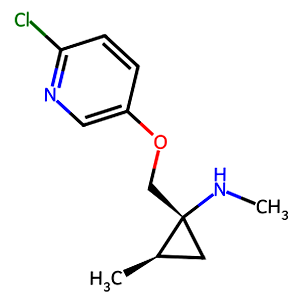 CN[C@]1(COc2ccc(Cl)nc2)C[C@H]1C